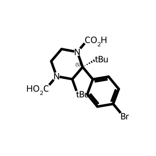 CC(C)(C)C1N(C(=O)O)CCN(C(=O)O)[C@]1(c1ccc(Br)cc1)C(C)(C)C